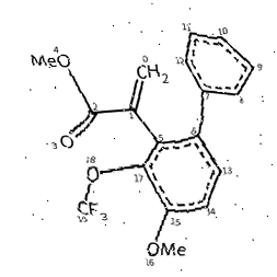 C=C(C(=O)OC)c1c(-c2ccccc2)ccc(OC)c1OC(F)(F)F